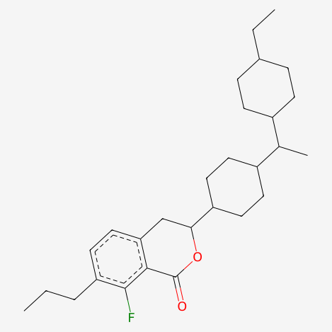 CCCc1ccc2c(c1F)C(=O)OC(C1CCC(C(C)C3CCC(CC)CC3)CC1)C2